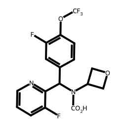 O=C(O)N(C1COC1)C(c1ccc(OC(F)(F)F)c(F)c1)c1ncccc1F